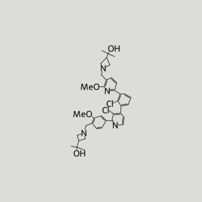 COc1cc(-c2nccc(-c3cccc(-c4ccc(CN5CC(C(C)(C)O)C5)c(OC)n4)c3Cl)c2Cl)ccc1CN1CC(C(C)(C)O)C1